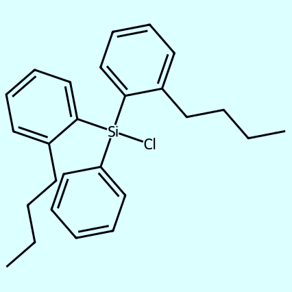 CCCCc1ccccc1[Si](Cl)(c1ccccc1)c1ccccc1CCCC